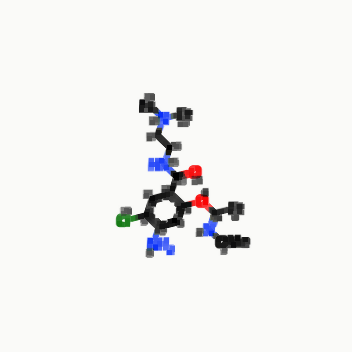 CCC(=NOC)Oc1cc(N)c(Cl)cc1C(=O)NCCN(CC)CC